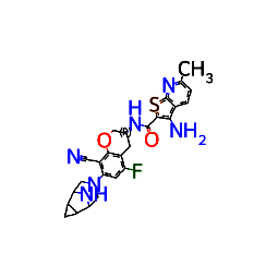 Cc1ccc2c(N)c(C(=O)N[C@H]3COc4c(C#N)c(N5CC6NC(C5)C5CC65)cc(F)c4C3)sc2n1